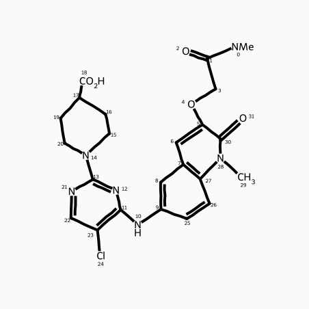 CNC(=O)COc1cc2cc(Nc3nc(N4CCC(C(=O)O)CC4)ncc3Cl)ccc2n(C)c1=O